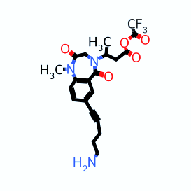 CC(CC(=O)OC(=O)C(F)(F)F)N1CC(=O)N(C)c2ccc(C#CCCCN)cc2C1=O